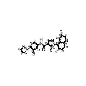 O=C(Nc1cnc(-n2nccn2)c(Cl)c1)c1cnn(-c2cccc3ncc(F)cc23)c1C(F)(F)F